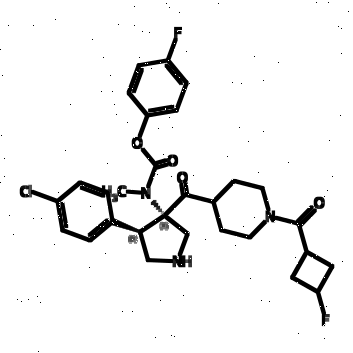 CN(C(=O)Oc1ccc(F)cc1)[C@]1(C(=O)C2CCN(C(=O)C3CC(F)C3)CC2)CNC[C@H]1c1ccc(Cl)cc1